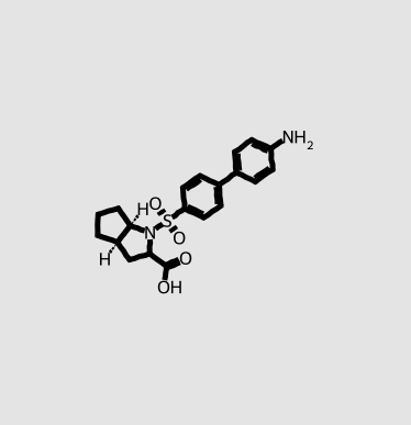 Nc1ccc(-c2ccc(S(=O)(=O)N3C(C(=O)O)C[C@H]4CCC[C@H]43)cc2)cc1